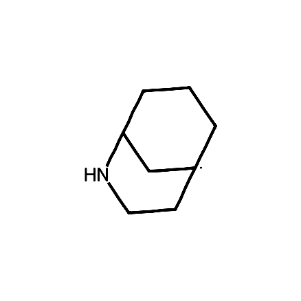 C1C[C]2CCNC(C1)C2